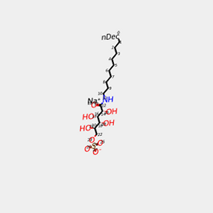 CCCCCCCCCCCCCCCCCCCCNC(=O)[C@H](O)[C@@H](O)[C@H](O)[C@H](O)COS(=O)(=O)[O-].[Na+]